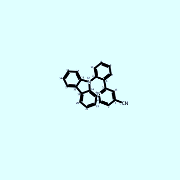 N#Cc1ccnc(-c2ccccc2-n2c3ccccc3c3ccccc32)c1